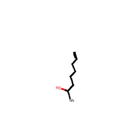 C=CCCCCC(O)CCC